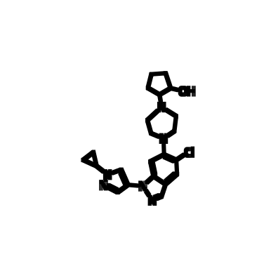 OC1CCCC1N1CCN(c2cc3c(cnn3-c3cnn(C4CC4)c3)cc2Cl)CC1